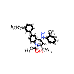 CC(=O)Nc1cccc(-c2ccc3c(c2)[C@H](Nc2ccccc2C(F)(F)F)C[C@H](C)N3C(C)O)c1